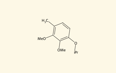 COc1c(C)ccc(OC(C)C)c1OC